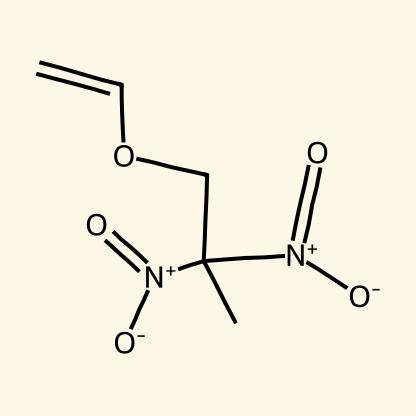 C=COCC(C)([N+](=O)[O-])[N+](=O)[O-]